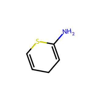 NC1=CCC=CS1